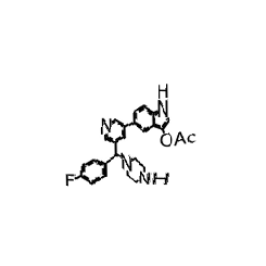 CC(=O)Oc1c[nH]c2ccc(-c3cncc(C(c4ccc(F)cc4)N4CCNCC4)c3)cc12